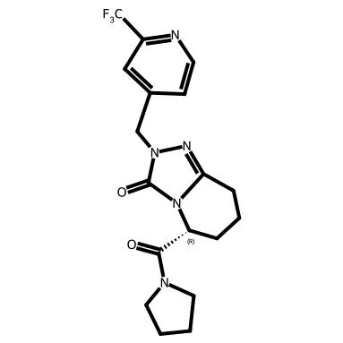 O=C([C@H]1CCCc2nn(Cc3ccnc(C(F)(F)F)c3)c(=O)n21)N1CCCC1